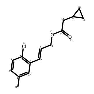 Cc1ccc(Cl)c(/C=C/COC(=O)CC2CC2)c1